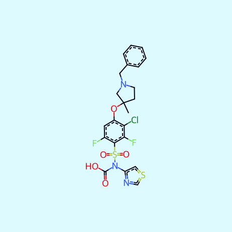 CC1(Oc2cc(F)c(S(=O)(=O)N(C(=O)O)c3cscn3)c(F)c2Cl)CCN(Cc2ccccc2)C1